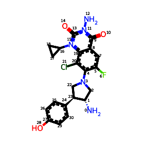 N[C@H]1CN(c2c(F)cc3c(=O)n(N)c(=O)n(C4CC4)c3c2Cl)C[C@@H]1c1ccc(O)cc1